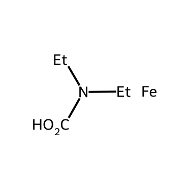 CCN(CC)C(=O)O.[Fe]